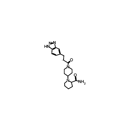 NC(=O)C1CCCCN1C1CCN(C(=O)[CH]Cc2ccc3[nH]nnc3c2)CC1